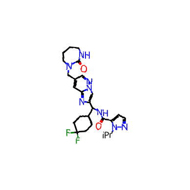 CC(C)n1nccc1C(=O)NC(c1cn2ncc(CN3CCCCNC3=O)cc2n1)C1CCC(F)(F)CC1